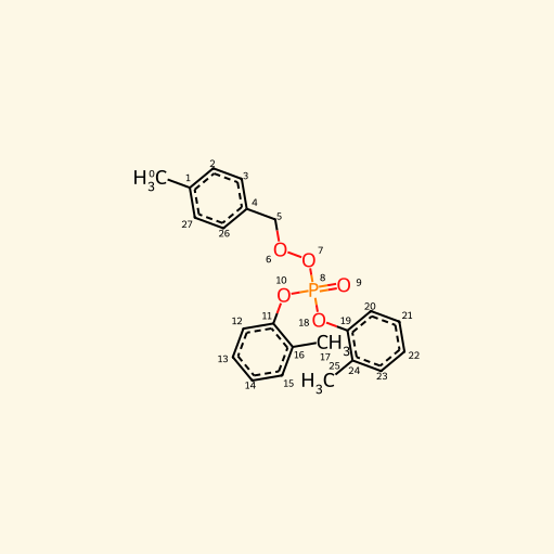 Cc1ccc(COOP(=O)(Oc2ccccc2C)Oc2ccccc2C)cc1